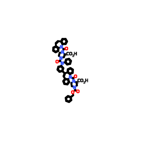 O=C(O)[C@H]1CN(C(=O)N(c2ccccc2)c2cccc(C3=Cc4ccccc4N(C(=O)N4CCN(C(=O)OCc5ccccc5)C[C@H]4C(=O)O)c4ccccc43)c2)CCN1C(=O)N1c2ccccc2C=Cc2ccccc21